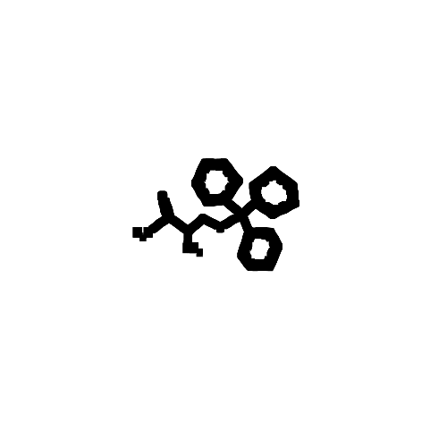 NC(=O)C(N)CSC(c1ccccc1)(c1ccccc1)c1ccccc1